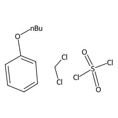 CCCCOc1ccccc1.ClCCl.O=S(=O)(Cl)Cl